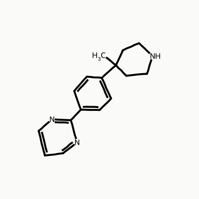 CC1(c2ccc(-c3ncccn3)cc2)CCNCC1